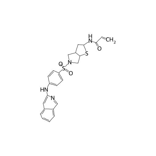 C=CC(=O)NC1CC2CN(S(=O)(=O)c3ccc(Nc4cc5ccccc5cn4)cc3)CC2S1